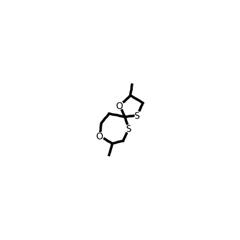 CC1CSC2(CCO1)OC(C)CS2